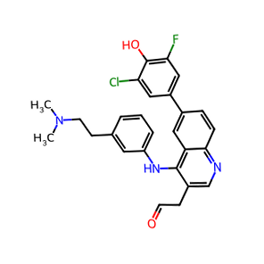 CN(C)CCc1cccc(Nc2c(CC=O)cnc3ccc(-c4cc(F)c(O)c(Cl)c4)cc23)c1